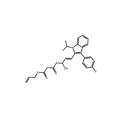 C=CCOC(=O)CC(=O)CC(O)C=Cc1c(-c2ccc(F)cc2)c2ccccc2n1C(C)C